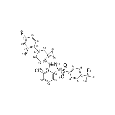 CC(F)(F)c1ccc(S(=O)(=O)n2nc(N3CCN(c4ccc(F)cc4F)CC34CC4)c3c(Cl)cccc32)cc1